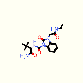 CCNC(=O)Cn1c(=O)n(C(=O)N[C@H](C(N)=O)C(C)(C)C)c2ccccc21